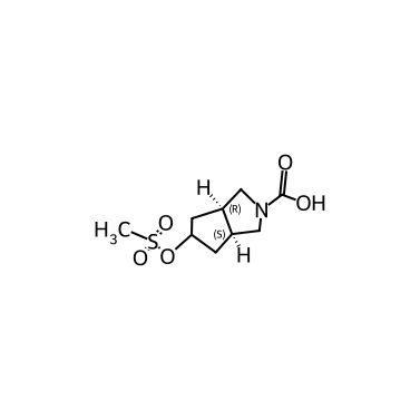 CS(=O)(=O)OC1C[C@@H]2CN(C(=O)O)C[C@@H]2C1